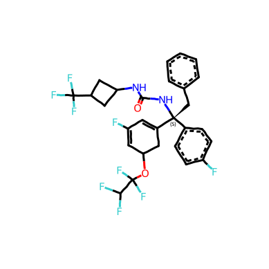 O=C(NC1CC(C(F)(F)F)C1)N[C@@](Cc1ccccc1)(C1=CC(F)=CC(OC(F)(F)C(F)F)C1)c1ccc(F)cc1